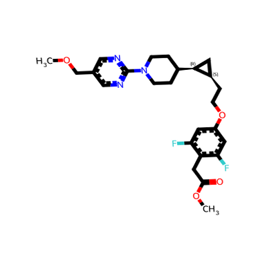 COCc1cnc(N2CCC([C@H]3C[C@H]3CCOc3cc(F)c(CC(=O)OC)c(F)c3)CC2)nc1